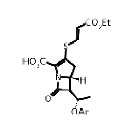 CCOC(=O)C=CSC1=C(C(=O)O)N2C(=O)[C@H]([C@H](C)OC(C)=O)[C@H]2C1